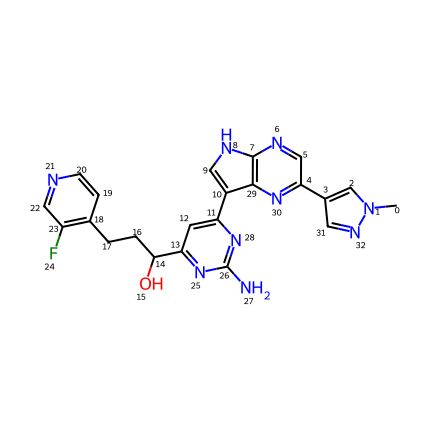 Cn1cc(-c2cnc3[nH]cc(-c4cc(C(O)CCc5ccncc5F)nc(N)n4)c3n2)cn1